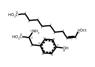 CCCCCCCC/C=C\CCCCCCCC(=O)O.NC(Cc1ccc(O)cc1)C(=O)O